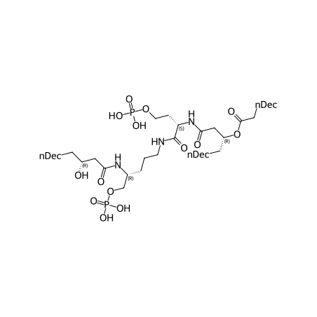 CCCCCCCCCCCC(=O)O[C@H](CCCCCCCCCCC)CC(=O)N[C@@H](CCOP(=O)(O)O)C(=O)NCCC[C@H](COP(=O)(O)O)NC(=O)C[C@H](O)CCCCCCCCCCC